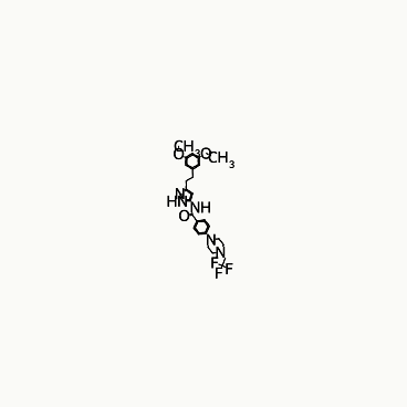 COc1cc(CCc2cc(NC(=O)c3ccc(N4CCN(CC(F)(F)F)CC4)cc3)[nH]n2)cc(OC)c1